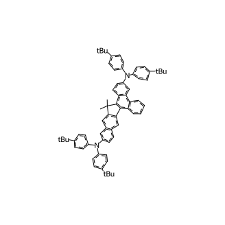 CC(C)(C)c1ccc(N(c2ccc(C(C)(C)C)cc2)c2ccc3cc4c(cc3c2)C(C)(C)c2c-4c3ccccc3c3cc(N(c4ccc(C(C)(C)C)cc4)c4ccc(C(C)(C)C)cc4)ccc23)cc1